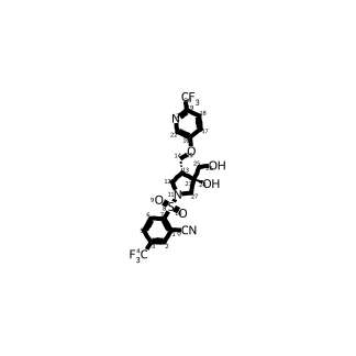 N#Cc1cc(C(F)(F)F)ccc1S(=O)(=O)N1C[C@H](COc2ccc(C(F)(F)F)nc2)[C@](O)(CO)C1